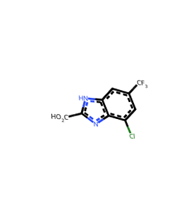 O=C(O)c1nc2c(Cl)cc(C(F)(F)F)cc2[nH]1